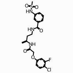 C=C(CCNC(=O)c1cccc(NS(C)(=O)=O)c1)NC(=O)COc1ccc(Cl)c(F)c1